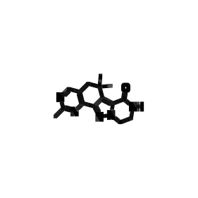 Cc1ncc2c(n1)-c1nn3c(c1C(C)(C)C2)C(=O)NCC3